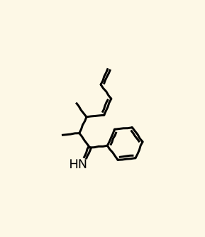 C=C/C=C\C(C)C(C)C(=N)c1ccccc1